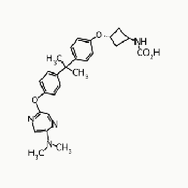 CN(C)c1cnc(Oc2ccc(C(C)(C)c3ccc(O[C@H]4C[C@H](NC(=O)O)C4)cc3)cc2)cn1